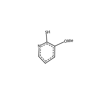 COc1cccnc1S